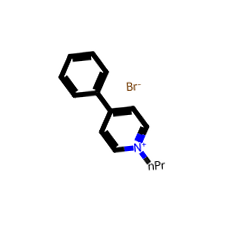 CCC[n+]1ccc(-c2ccccc2)cc1.[Br-]